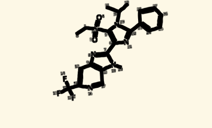 CCS(=O)(=O)c1c(-c2nc3cc(C(F)(F)F)ncc3n2C)nc(-c2ccccc2)n1C(C)C